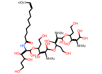 CCCCCCCC/C=C\CCCCCCCC(=O)N/C(=C(\O)C(O)CCO)C(O)OC(CCO)/C(O)=C(/NC(C)=O)C(O)OC(CCO)/C(O)=C(/NC(C)=O)C(O)OC(CCO)/C(O)=C(/NC(C)=O)C(O)O